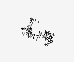 C#Cc1cccc2cc(O)cc(-c3c(F)cc4c(N5C[C@H]6CC[C@@](C)(C5)N6)nc(OC[C@]5(CN(C)CCCOCCC(=O)N[C@H](C(=O)N6C[C@H](O)C[C@H]6C(=O)NCc6ccc(-c7scnc7C)cc6)C(C)(C)C)CC5(F)F)nc4c3F)c12